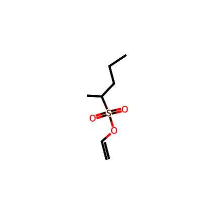 C=COS(=O)(=O)C(C)CCC